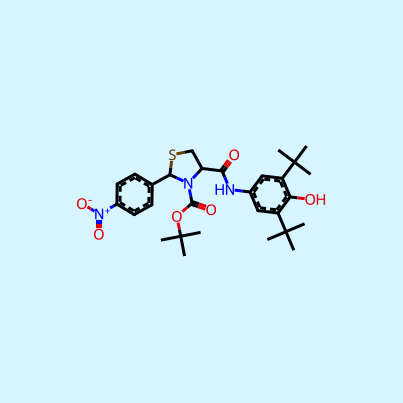 CC(C)(C)OC(=O)N1C(C(=O)Nc2cc(C(C)(C)C)c(O)c(C(C)(C)C)c2)CSC1c1ccc([N+](=O)[O-])cc1